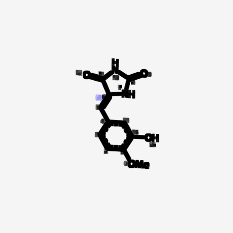 COc1ccc(/C=C2\NC(=O)NC2=O)cc1O